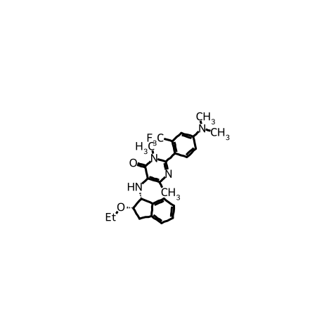 CCO[C@H]1Cc2ccccc2[C@H]1Nc1c(C)nc(-c2ccc(N(C)C)cc2C(F)(F)F)n(C)c1=O